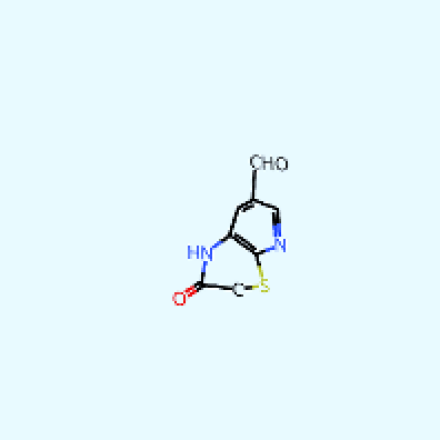 O=Cc1cnc2c(c1)NC(=O)CS2